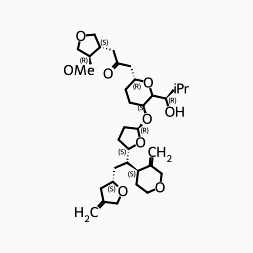 C=C1CO[C@@H](CC([C@@H]2CC[C@@H](O[C@H]3CC[C@H](CC(=O)C[C@H]4COC[C@@H]4OC)OC3[C@H](O)C(C)C)O2)[C@@H]2CCOCC2=C)C1